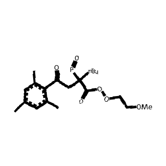 CCCCC(CC(=O)c1c(C)cc(C)cc1C)(P=O)C(=O)OOCCOC